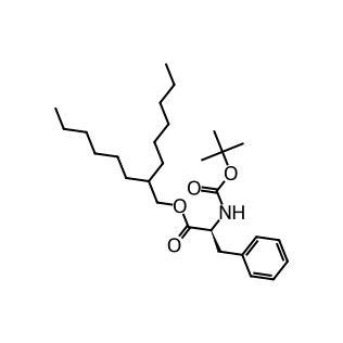 CCCCCCC(CCCCCC)COC(=O)[C@H](Cc1ccccc1)NC(=O)OC(C)(C)C